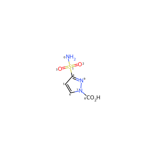 NS(=O)(=O)c1ccn(C(=O)O)n1